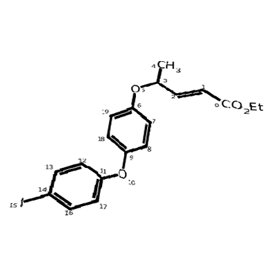 CCOC(=O)C=CC(C)Oc1ccc(Oc2ccc(I)cc2)cc1